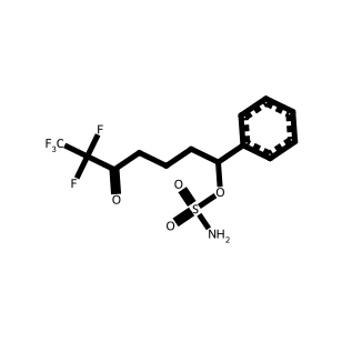 NS(=O)(=O)OC(CCCC(=O)C(F)(F)C(F)(F)F)c1ccccc1